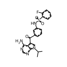 CC(C)n1cc(C(=O)c2cccc(NS(=O)(=O)c3ccccc3F)c2)c2c(N)ncnc21